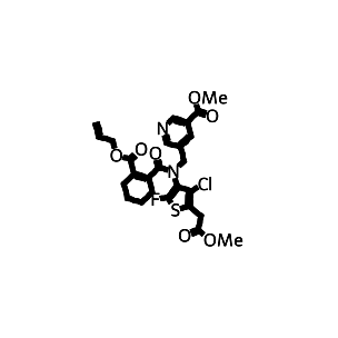 C=CCOC(=O)C1=C(C(=O)N(Cc2cncc(C(=O)OC)c2)c2c(F)sc(CC(=O)OC)c2Cl)CCCC1